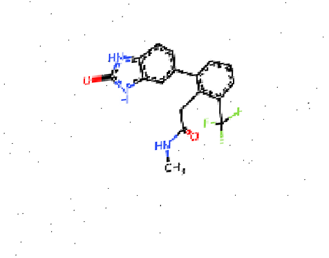 CNC(=O)Cc1c(-c2ccc3[nH]c(=O)[nH]c3c2)cccc1C(F)(F)F